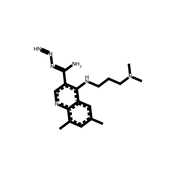 Cc1cc(C)c2ncc(/C(N)=N/N=N)c(NCCCN(C)C)c2c1